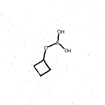 OB(O)OC1CCC1